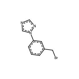 BrCc1cccc(-n2cncn2)c1